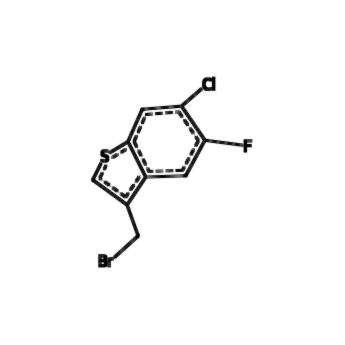 Fc1cc2c(CBr)csc2cc1Cl